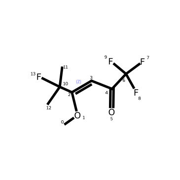 CO/C(=C\C(=O)C(F)(F)F)C(C)(C)F